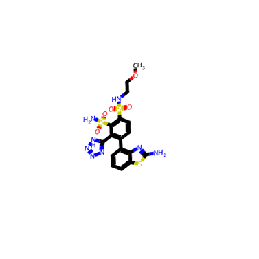 COCCNS(=O)(=O)c1ccc(-c2cccc3sc(N)nc23)c(-c2nnn[nH]2)c1S(N)(=O)=O